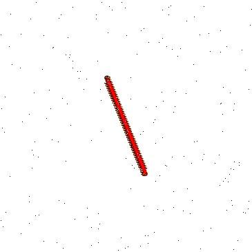 S=S=S=S=S=S=S=S=S=S=S=S=S=S=S=S=S=S=S=S=S=S=S=S=S=S=S=S=S=S=S=S=S=S=S=S=S=S=S=S=S=S=S=S=S=S=S=S=S=S=S=S=S=S=S=S=S=S=S=S=S=S=S=S=S=S=S=S=S=S=S=S=S=S=S=S